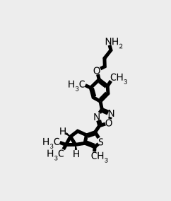 Cc1cc(-c2noc(-c3sc(C)c4c3C[C@@H]3[C@H]4C3(C)C)n2)cc(C)c1OCCCN